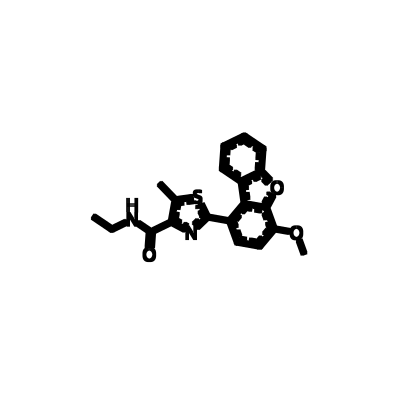 CCNC(=O)c1nc(-c2ccc(OC)c3oc4ccccc4c23)sc1C